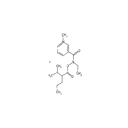 CCCC(C(=O)ON(CC)C(=O)c1ccc[n+](C)c1)C(C)C.[I-]